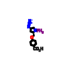 [N-]=[N+]=N[C@H]1C[C@@H](COC2CCC(C(=O)O)CC2)N(P)C1